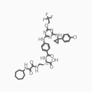 O=C(NCC[C@H](NC(=O)c1ccc(Nc2nc(NC3(c4ccc(Cl)cc4)CC3)nc(OCC(F)(F)F)n2)cc1)C(=O)O)C(=O)NC1CCCCCC1